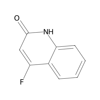 O=c1cc(F)c2ccccc2[nH]1